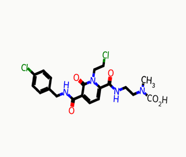 CN(CCNC(=O)c1ccc(C(=O)NCc2ccc(Cl)cc2)c(=O)n1CCCl)C(=O)O